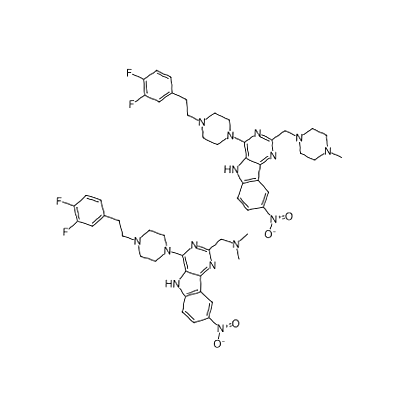 CN(C)Cc1nc(N2CCN(CCc3ccc(F)c(F)c3)CC2)c2[nH]c3ccc([N+](=O)[O-])cc3c2n1.CN1CCN(Cc2nc(N3CCN(CCc4ccc(F)c(F)c4)CC3)c3[nH]c4ccc([N+](=O)[O-])cc4c3n2)CC1